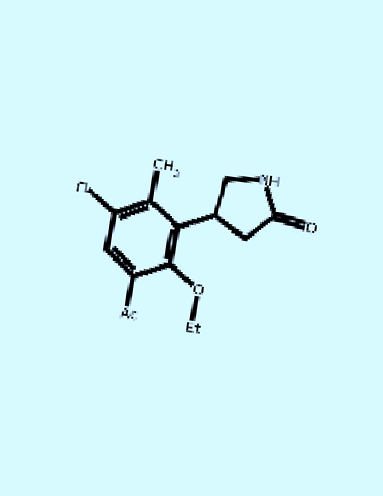 CCOc1c(C(C)=O)cc(Cl)c(C)c1C1CNC(=O)C1